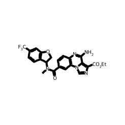 CCOC(=O)c1ncn2c1c(N)nc1ccc(C(=O)N(C)C3COc4cc(C(F)(F)F)ccc43)cc12